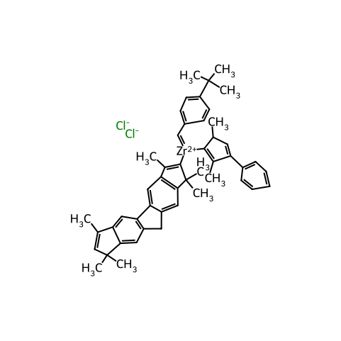 CC1=CC(C)(C)c2cc3c(cc21)-c1cc2c(cc1C3)C(C)(C)[C]([Zr+2](=[CH]c1ccc(C(C)(C)C)cc1)[C]1=C(C)C(c3ccccc3)=CC1C)=C2C.[Cl-].[Cl-]